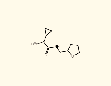 CCCN(C(=O)NCC1CCCO1)C1CC1